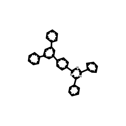 c1ccc(-c2cc(-c3ccccc3)cc(-c3ccc(-c4nc(-c5ccccc5)nc(-c5ccccc5)n4)cc3)c2)cc1